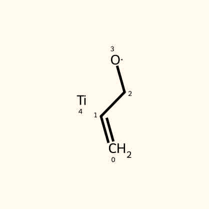 C=CC[O].[Ti]